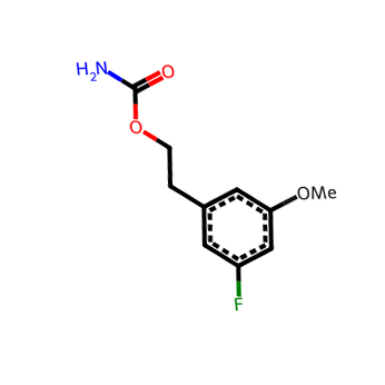 COc1cc(F)cc(CCOC(N)=O)c1